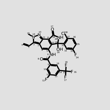 C=Cc1c2cc(NC(=O)c3cc(F)cc(C(F)(F)F)c3)c3c(c2nn1C)C(=O)NC3(O)c1cc(F)ccc1Cl